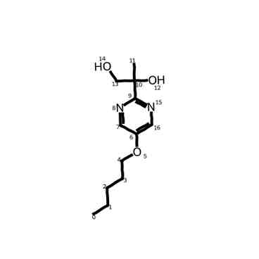 CCCCCOc1cnc(C(C)(O)CO)nc1